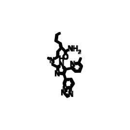 C\C=C/C=C(\C=C\N(C)Cc1nc(-c2ccc3ncnn3c2)c(-c2cccc(C)n2)[nH]1)C(N)=O